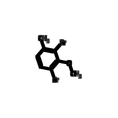 COc1c(Br)ccc(C)c1Br